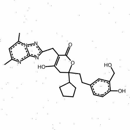 Cc1cc(C)n2nc(CC3=C(O)CC(CCc4ccc(O)c(CO)c4)(C4CCCC4)OC3=O)nc2n1